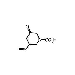 C=CC1CC(=O)CN(C(=O)O)C1